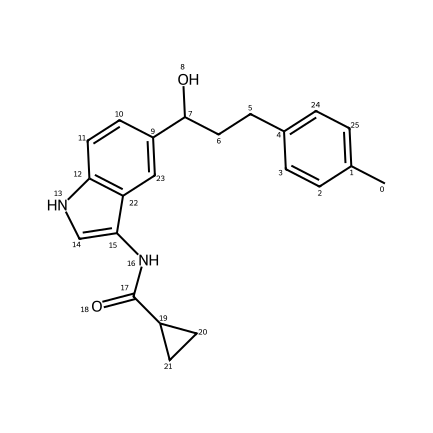 Cc1ccc(CCC(O)c2ccc3[nH]cc(NC(=O)C4CC4)c3c2)cc1